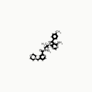 Cc1ccc(-c2nn(C(C)(C)CNC(=O)c3cc(CN4CCOCC4)ccn3)c3ncnc(N)c23)cc1